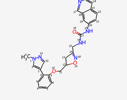 Cn1cc(-c2ccccc2OCC2CC(CNC(=O)Nc3ccc4ccncc4c3)=NO2)cn1